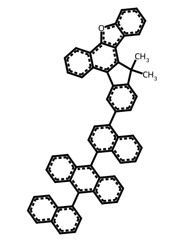 CC1(C)c2ccc(-c3ccc(-c4c5ccccc5c(-c5cccc6ccccc56)c5ccccc45)c4ccccc34)cc2-c2c1c1c3ccccc3oc1c1ccccc21